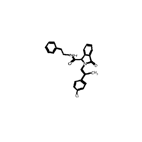 CC(CN1C(=O)c2ccccc2C1C(=O)NCCc1ccccc1)c1ccc(Cl)cc1